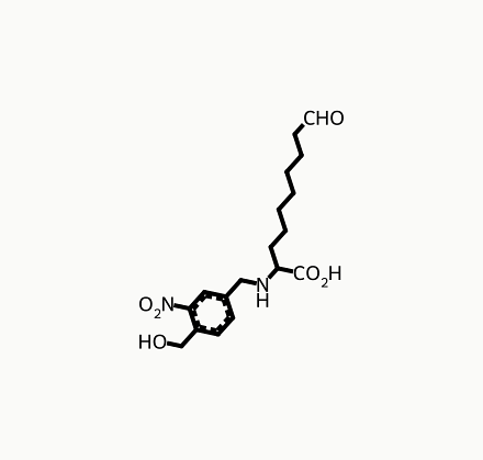 O=CCCCCCCCC(NCc1ccc(CO)c([N+](=O)[O-])c1)C(=O)O